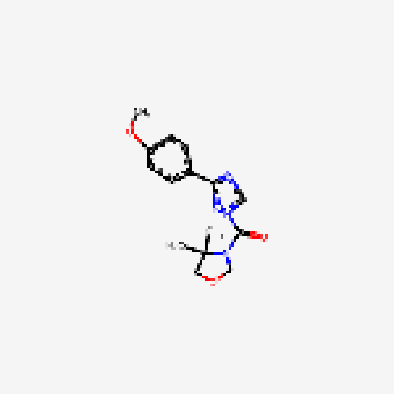 COc1ccc(-c2ncn(C(=O)N3COCC3(C)C)n2)cc1